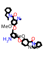 C=Nc1cc(OCc2cc(N)cc(COC3=C(OC)C=C(C(=O)N4CCc5ccccc54)C(NC)C=C3)c2)c(OC)cc1C(=O)N1C2=C(CCC=C2)CC1C